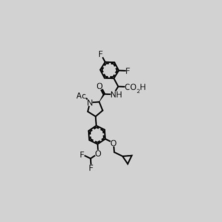 CC(=O)N1CC(c2ccc(OC(F)F)c(OCC3CC3)c2)C[C@@H]1C(=O)NC(C(=O)O)c1ccc(F)cc1F